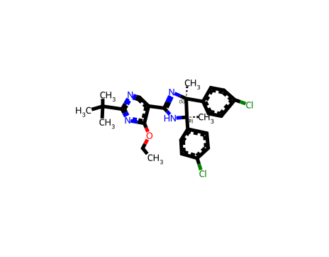 CCOc1nc(C(C)(C)C)ncc1C1=N[C@@](C)(c2ccc(Cl)cc2)[C@@](C)(c2ccc(Cl)cc2)N1